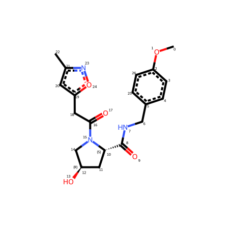 COc1ccc(CNC(=O)[C@@H]2C[C@@H](O)CN2C(=O)Cc2cc(C)no2)cc1